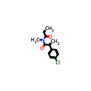 C=CC(=O)N(C)C(=O)C(=C)c1ccc(Cl)cc1